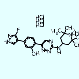 CC1(C)CC(Nc2ncc(-c3ccc(-c4c[nH]nc4F)cc3O)nn2)CC(C)(C)N1.Cl.Cl.Cl